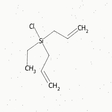 C=CC[Si](Cl)(CC)CC=C